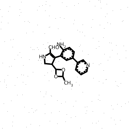 CC1OC(C2CNC(C=O)=C2c2cc(-c3cccnc3)ccc2N)O1